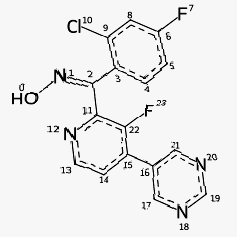 O/N=C(/c1ccc(F)cc1Cl)c1nccc(-c2cncnc2)c1F